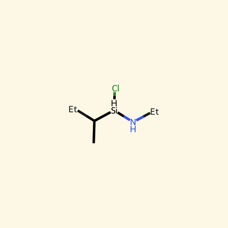 CCN[SiH](Cl)C(C)CC